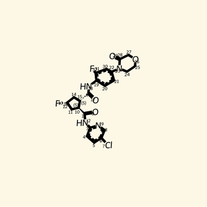 O=C(Nc1ccc(Cl)cn1)[C@H]1C[C@H](F)C[C@@H]1C(=O)Nc1ccc(N2CCOCC2=O)cc1F